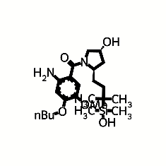 CCCCOc1cc(N)c(C(=O)N2C[C@H](O)C[C@H]2CCC(C)(C)[Si](C)(C)O)cc1OC